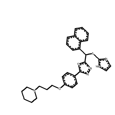 c1ccc2c(C(Sc3ncc[nH]3)c3nnc(-c4ccc(OCCCN5CCCCC5)cc4)o3)cccc2c1